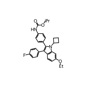 CCOc1ccc2c(-c3ccc(F)cc3)c(-c3ccc(NC(=O)OC(C)C)cc3)n(C3CCC3)c2c1